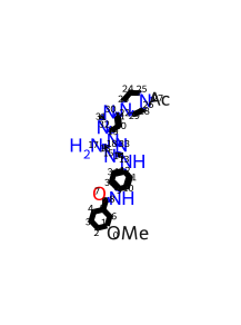 COC1CCCC(C(=O)Nc2ccc(Nc3nc(N)n(-c4cc(N5CCCN(C(C)=O)CC5)ncn4)n3)cc2)C1